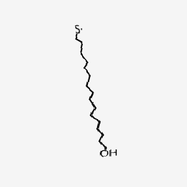 OCCCCCCCCCCCCCCCC[S]